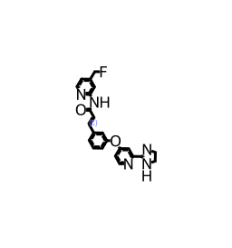 O=C(/C=C/c1cccc(Oc2ccnc(C3=NCCN3)c2)c1)Nc1cc(CF)ccn1